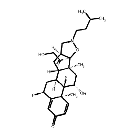 CC(C)CCN1C[C@@H]2C[C@H]3[C@@H]4C[C@H](F)C5=CC(=O)C=C[C@]5(C)[C@@]4(F)[C@@H](O)C[C@]3(C)[C@]2(C(=O)CO)O1